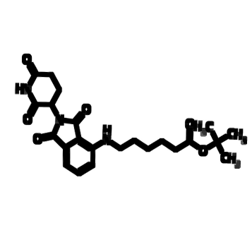 CC(C)(C)OC(=O)CCCCCNc1cccc2c1C(=O)N(C1CCC(=O)NC1=O)C2=O